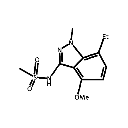 CCc1ccc(OC)c2c(NS(C)(=O)=O)nn(C)c12